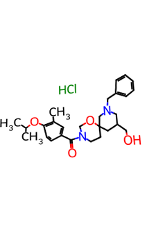 Cc1cc(C(=O)N2CCC3(CC(CO)CN(Cc4ccccc4)C3)OC2)ccc1OC(C)C.Cl